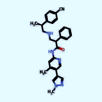 Cc1cc(NC(=O)C(CNC[C@@H](C)c2ccc(C#N)cc2)c2ccccc2)ncc1-c1cnn(C)c1